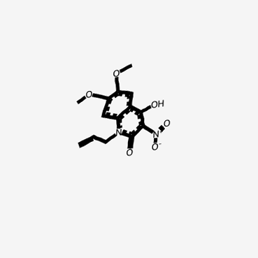 C=CCn1c(=O)c([N+](=O)[O-])c(O)c2cc(OC)c(OC)cc21